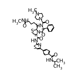 CNC(=O)CCCCC1SC[C@@H](C(=O)Nc2nc(-c3ccc(C(=O)NC(C)C)cc3)cs2)N1C(=O)[C@H](NC(=O)N1CCN(C)CC1)c1ccccc1